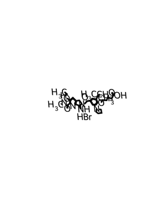 Br.CCOc1cc2c(nc1C(=O)NC)C(=N)N(CC(=O)c1cc(N3CCCC3)c(OCCCCC(=O)O)c(C(C)(C)C)c1)C2